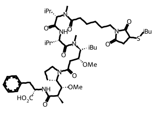 CCC(C)SC1CC(=O)N(CCCCCC(=O)N(C)[C@H](C(=O)N[C@H](C(=O)N(C)[C@@H]([C@@H](C)CC)[C@@H](CC(=O)N2CCC[C@H]2[C@H](OC)[C@@H](C)C(=O)N[C@@H](Cc2ccccc2)C(=O)O)OC)C(C)C)C(C)C)C1=O